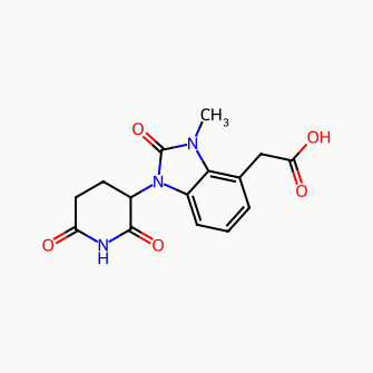 Cn1c(=O)n(C2CCC(=O)NC2=O)c2cccc(CC(=O)O)c21